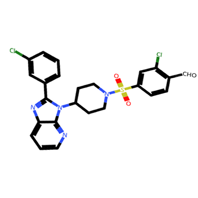 O=Cc1ccc(S(=O)(=O)N2CCC(n3c(-c4cccc(Cl)c4)nc4cccnc43)CC2)cc1Cl